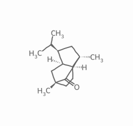 CC(C)[C@H]1C[C@@]2(C)C(=O)[C@]3(C)CC[C@H]2[C@H]1C3